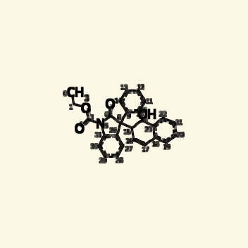 CCOC(=O)N1C(=O)C(c2ccccc2)(C2C=Cc3ccccc3C2O)c2ccccc21